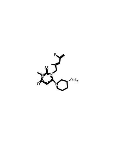 C=C(F)/C=C(\C)Cn1c(N2CCC[C@@H](N)C2)cc(=O)n(C)c1=O